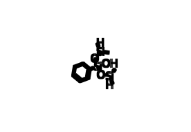 C[SiH](C)O[Si](O)(O[SiH](C)C)C1=CC=CCC1